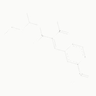 CCOC(C)OC(=O)/C(=C/c1cccc([N+](=O)[O-])c1)C(C)=O